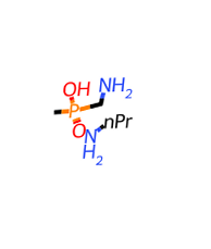 CCCN.CP(=O)(O)CN